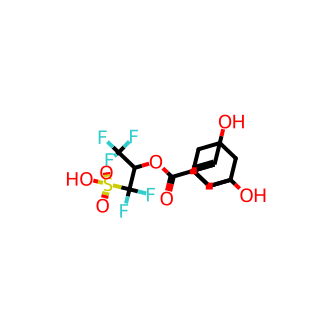 O=C(OC(C(F)(F)F)C(F)(F)S(=O)(=O)O)C1=C2C3CC(O)(C1)CC2(O)C3